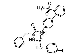 CS(=O)(=O)c1ccccc1-c1ccc(NC(=O)[C@@H](Cc2ccccc2)NC(=O)Nc2ccc(I)cc2)cc1